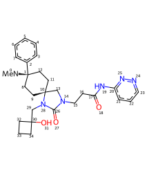 CN[C@]1(c2ccccc2)CC[C@@]2(CC1)CN(CCC(=O)Nc1cccnn1)C(=O)N2CC1(O)CCC1